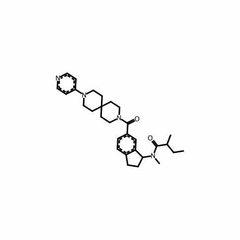 CCC(C)C(=O)N(C)C1CCc2ccc(C(=O)N3CCC4(CC3)CCN(c3ccncc3)CC4)cc21